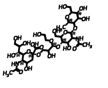 CC(=O)NC1C(O)[C@H](O[C@H](OCCO)C(O)CO[C@]2(C(=O)O)CC(O)[C@@H](NC(C)=O)C([C@H](O)C(O)CO)O2)C(CO)O[C@H]1OC1C(O)[C@H](O)C(CO)O[C@@H]1C